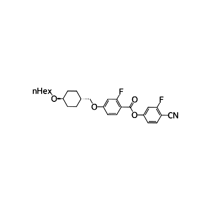 CCCCCCO[C@H]1CC[C@H](COc2ccc(C(=O)Oc3ccc(C#N)c(F)c3)c(F)c2)CC1